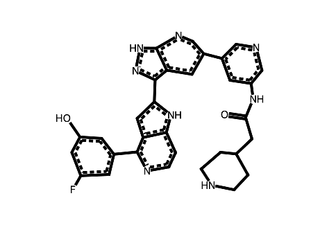 O=C(CC1CCNCC1)Nc1cncc(-c2cnc3[nH]nc(-c4cc5c(-c6cc(O)cc(F)c6)nccc5[nH]4)c3c2)c1